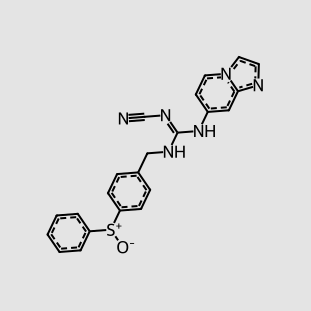 N#CN=C(NCc1ccc([S+]([O-])c2ccccc2)cc1)Nc1ccn2ccnc2c1